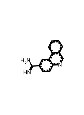 N=C(N)c1ccc2ncc3ccccc3c2c1